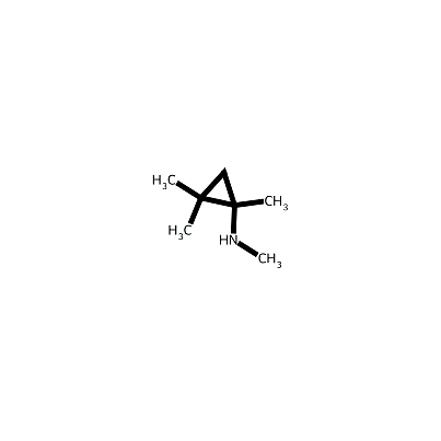 CNC1(C)CC1(C)C